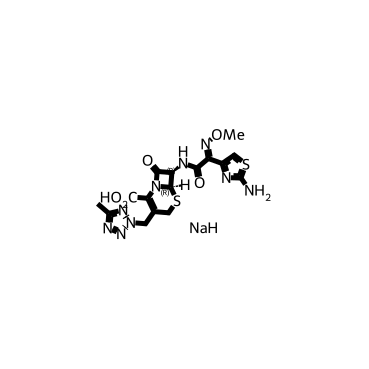 CON=C(C(=O)N[C@@H]1C(=O)N2C(C(=O)O)=C(Cn3nnc(C)n3)CS[C@H]12)c1csc(N)n1.[NaH]